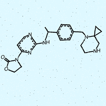 CC(Nc1nccc(N2CCOC2=O)n1)c1ccc(CN2CCNCC23CC3)cc1